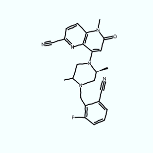 CC1CN(c2cc(=O)n(C)c3ccc(C#N)nc23)[C@@H](C)CN1Cc1c(F)cccc1C#N